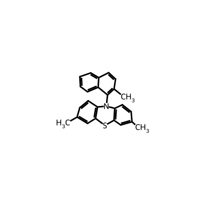 Cc1ccc2c(c1)Sc1cc(C)ccc1N2c1c(C)ccc2ccccc12